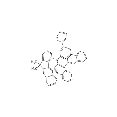 CC1(C)c2cc3ccccc3cc2-c2c(N(c3cccc(-c4ccccc4)c3)c3ccc4ccccc4c3-c3ccc4ccccc4c3)cccc21